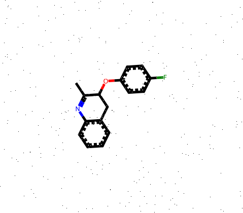 CC1=Nc2ccccc2CC1Oc1ccc(F)cc1